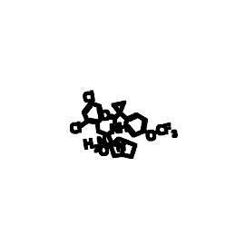 NC1CC2CCC(C1)N2C(=O)C(Cc1ccc(Cl)cc1Cl)NC(=O)C1(c2ccc(OC(F)(F)F)cc2)CC1